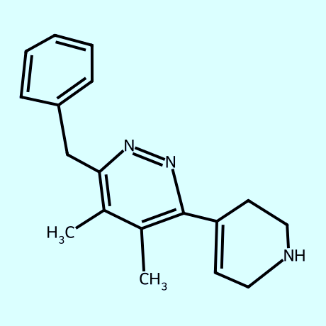 Cc1c(Cc2ccccc2)nnc(C2=CCNCC2)c1C